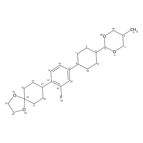 CC1COC(C2CCC(c3ccc(C4CCC5(CC4)OCCO5)c(F)c3)CC2)OC1